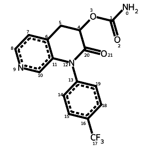 NC(=O)OC1Cc2ccncc2N(c2ccc(C(F)(F)F)cc2)C1=O